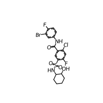 O=C(Nc1ccc(F)c(Br)c1)c1cc(S(=O)(=O)NC2CCCCC2O)c(F)cc1Cl